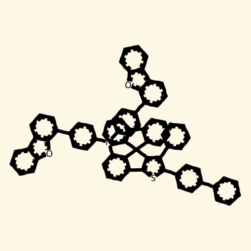 c1ccc(-c2ccc(-c3sc4c(c3-c3ccccc3)C3(c5ccccc5-c5ccccc53)c3c-4cccc3N(c3ccc(-c4cccc5c4oc4ccccc45)cc3)c3ccc(-c4cccc5c4oc4ccccc45)cc3)cc2)cc1